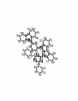 c1ccc(-c2nc(-c3ccccc3)nc(-n3c4ccccc4c4c5ccccc5n(-c5cccc(-n6c7ccccc7c7ccccc76)c5)c43)n2)cc1